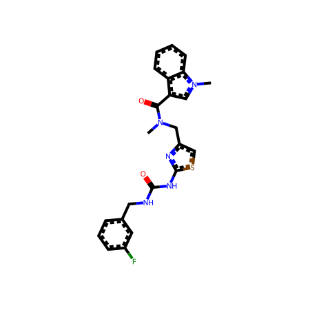 CN(Cc1csc(NC(=O)NCc2cccc(F)c2)n1)C(=O)c1cn(C)c2ccccc12